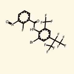 O=Nc1cccc(C(=O)Nc2c(Br)cc(C(F)(C(F)(F)F)C(F)(F)F)cc2C(F)(F)F)c1F